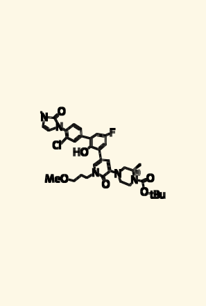 COCCCn1cc(-c2cc(F)cc(-c3ccc(-n4ccn(C)c4=O)c(Cl)c3)c2O)cc(N2CCN(C(=O)OC(C)(C)C)[C@H](C)C2)c1=O